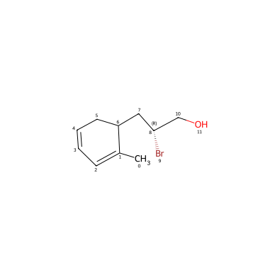 CC1=CC=CCC1C[C@@H](Br)CO